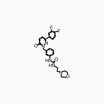 O=C(NCCN1CCOCC1)Nc1cccc(Cn2nc(-c3ccc(F)c(F)c3)ccc2=O)c1